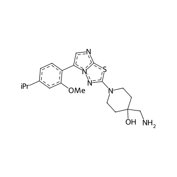 COc1cc(C(C)C)ccc1-c1cnc2sc(N3CCC(O)(CN)CC3)nn12